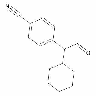 N#Cc1ccc(C(C=O)C2CCCCC2)cc1